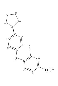 CCOC(=O)c1cnc(Oc2ccc(C3CCCC3)cc2)c(F)c1